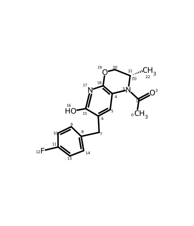 CC(=O)N1c2cc(Cc3ccc(F)cc3)c(O)nc2OC[C@@H]1C